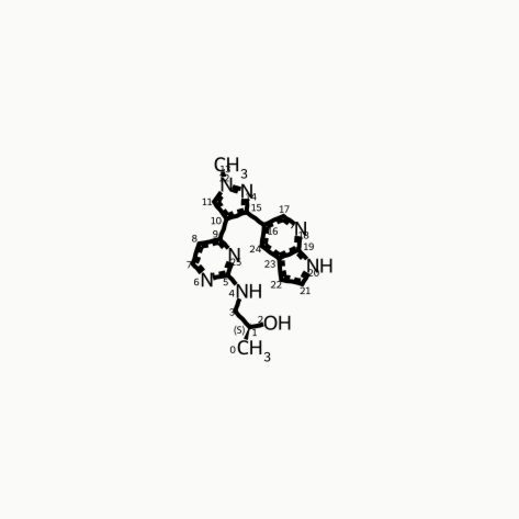 C[C@H](O)CNc1nccc(-c2cn(C)nc2-c2cnc3[nH]ccc3c2)n1